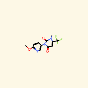 COc1ccc(-n2c(=O)cc(C(F)(F)F)n(C)c2=O)cn1